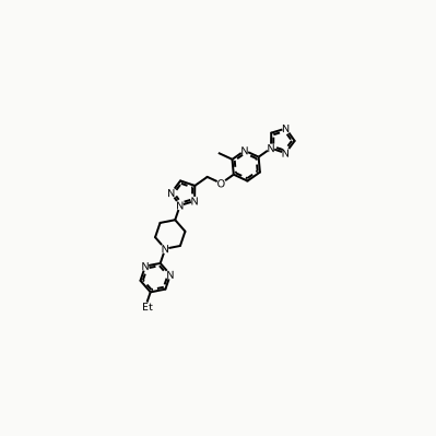 CCc1cnc(N2CCC(n3ncc(COc4ccc(-n5cncn5)nc4C)n3)CC2)nc1